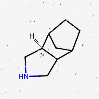 C1CC2CC1C1CNC[C@@H]21